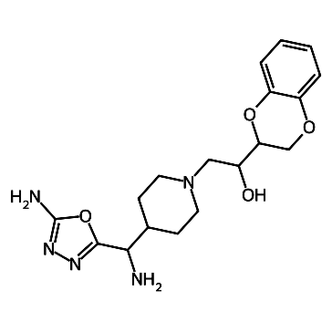 Nc1nnc(C(N)C2CCN(CC(O)C3COc4ccccc4O3)CC2)o1